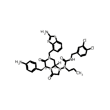 CCCN(C(=O)NCc1ccc(Cl)c(Cl)c1)N1CC(=O)N2[C@@H](Cc3ccc(N)cc3)C(=O)N(Cc3cccc4sc(N)nc34)C[C@@H]21